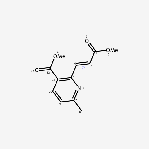 COC(=O)/C=C/c1nc(C)ccc1C(=O)OC